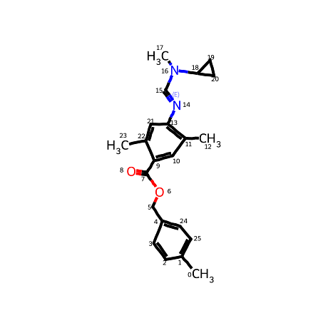 Cc1ccc(COC(=O)c2cc(C)c(/N=C/N(C)C3CC3)cc2C)cc1